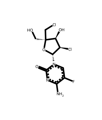 Nc1nc(=O)n([C@@H]2O[C@@](CO)(CCl)[C@@H](O)[C@H]2Cl)cc1F